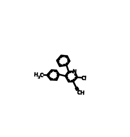 C#Cc1cc(-c2ccc(C)cc2)c(-c2ccccc2)nc1Cl